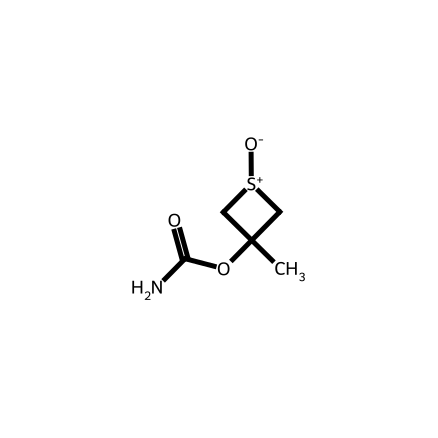 CC1(OC(N)=O)C[S+]([O-])C1